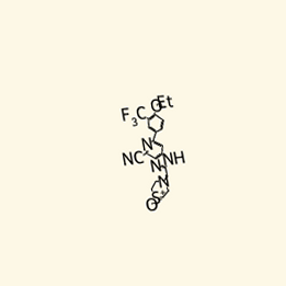 CCOc1ccc(-c2cc3[nH]c(CN4CC[S+]([O-])CC4)nc3c(C#N)n2)cc1C(F)(F)F